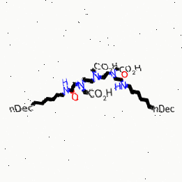 CCCCCCCCCCCCCCCCNC(=O)CN(CCN(CCN(CC(=O)O)CC(=O)NCCCCCCCCCCCCCCCC)CC(=O)O)CC(=O)O